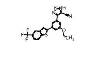 CCOc1cc(-c2cc3cc(C(F)(F)F)ccc3s2)cc(-c2nn[nH]c2C#N)c1